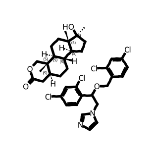 C[C@]12COC(=O)C[C@@H]1CC[C@@H]1[C@@H]2CC[C@@]2(C)[C@H]1CC[C@]2(C)O.Clc1ccc(COC(Cn2ccnc2)c2ccc(Cl)cc2Cl)c(Cl)c1